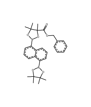 CC1(C)OB(c2cccc3c(B4OC(C)(C)C(C)(C(=O)OCc5ccccc5)O4)cccc23)OC1(C)C